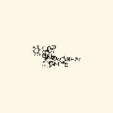 CC(=O)Nc1ccc(C(=O)N[C@@H](C)C(=O)N2CCC[C@H]2C(=O)N[C@H]2CC(=O)O[C@H]2OCc2ccccc2)cc1Cl